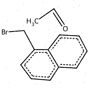 BrCc1cccc2ccccc12.CC=O